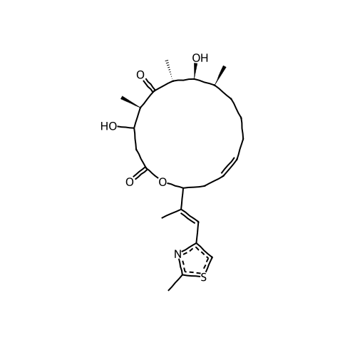 C/C(=C\c1csc(C)n1)C1C/C=C\CCC[C@H](C)[C@H](O)[C@@H](C)C(=O)[C@H](C)C(O)CC(=O)O1